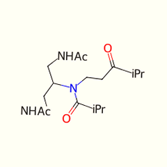 CC(=O)NCC(CNC(C)=O)N(CCC(=O)C(C)C)C(=O)C(C)C